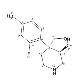 Cc1ccc([C@]2(CO)CCNC[C@@H]2C)c(F)c1